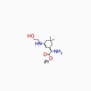 CC(C)OC(=O)/C(N)=C1\C=C(NCCO)CC(C)(C)C1